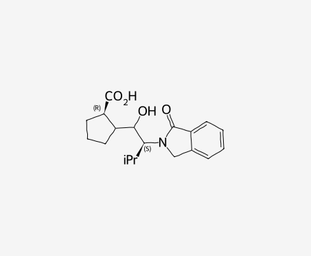 CC(C)[C@@H](C(O)C1CCC[C@H]1C(=O)O)N1Cc2ccccc2C1=O